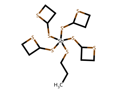 CCC[S][Sb]([S]C1CCS1)([S]C1CCS1)([S]C1CCS1)[S]C1CCS1